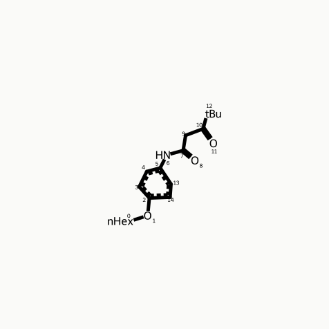 CCCCCCOc1ccc(NC(=O)CC(=O)C(C)(C)C)cc1